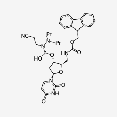 CC(C)N(C(C)C)N(CCC#N)P(O)O[C@H]1C[C@H](n2ccc(=O)[nH]c2=O)O[C@@H]1CNC(=O)OCC1c2ccccc2-c2ccccc21